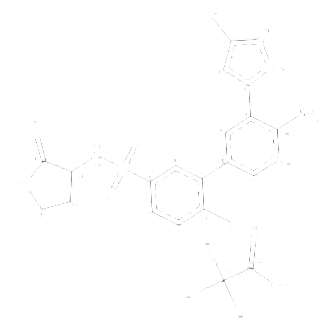 Cc1cc(-c2cc(-c3cc(S(=O)(=O)NC4CCOC4=O)ccc3C)cnc2N)on1.O=C(O)C(F)(F)F